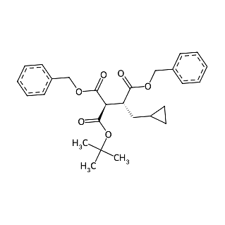 CC(C)(C)OC(=O)[C@@H](C(=O)OCc1ccccc1)[C@@H](CC1CC1)C(=O)OCc1ccccc1